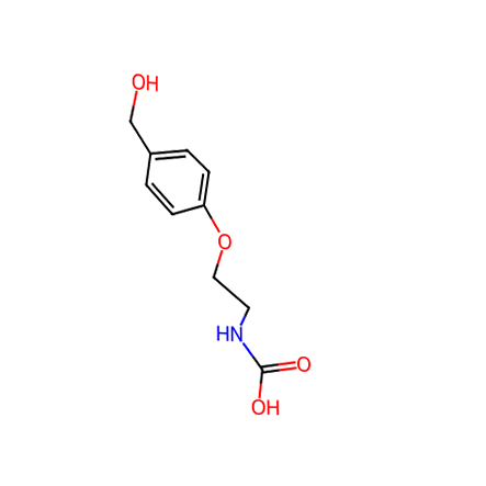 O=C(O)NCCOc1ccc(CO)cc1